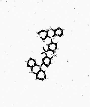 CC1(C)c2cc(N3c4ccccc4Oc4ccccc43)ccc2Nc2ccc(N3c4ccccc4Oc4ccccc43)cc21